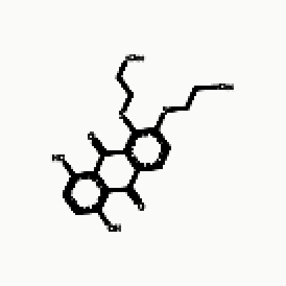 CCCCCCCCCCCCSc1ccc2c(c1SCCCCCCCCCCCC)C(=O)c1c(O)ccc(O)c1C2=O